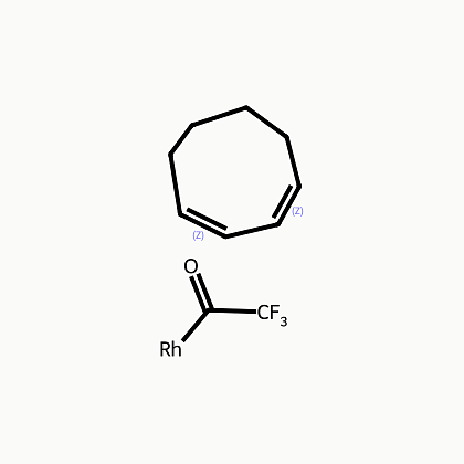 C1=C\CCCC\C=C/1.O=[C]([Rh])C(F)(F)F